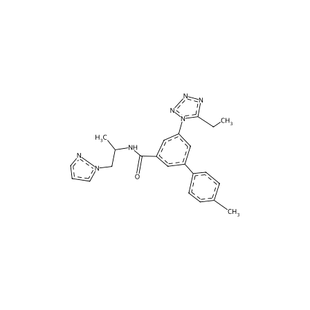 CCc1nnnn1-c1cc(C(=O)NC(C)Cn2cccn2)cc(-c2ccc(C)cc2)c1